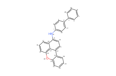 c1ccc(-c2ccc(Nc3ccc4c5c(cccc35)Oc3ccccc3-4)cc2)cc1